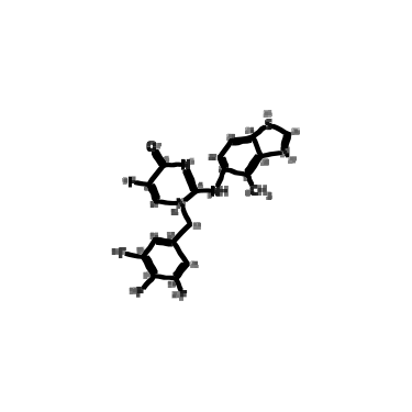 Cc1c(Nc2nc(=O)c(F)cn2Cc2cc(F)c(F)c(F)c2)ccc2scnc12